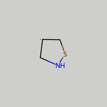 [CH]1CNSC1